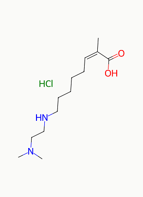 CC(=CCCCCCNCCN(C)C)C(=O)O.Cl